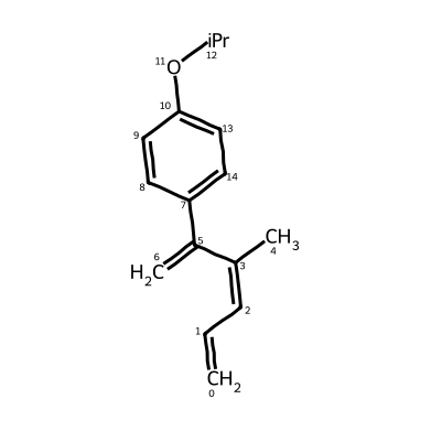 C=C/C=C(/C)C(=C)c1ccc(OC(C)C)cc1